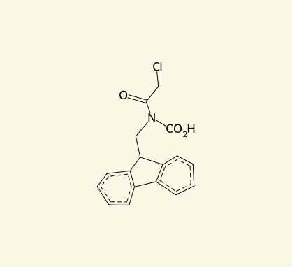 O=C(O)N(CC1c2ccccc2-c2ccccc21)C(=O)CCl